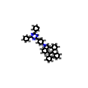 c1ccc(-c2nc(-c3ccccc3)nc(-c3ccc(-n4cc5c6c(cccc64)-c4c(c6ccccc6c6ccccc46)-c4ccccc4-5)cc3)n2)cc1